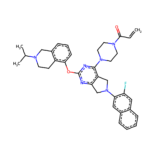 C=CC(=O)N1CCN(c2nc(Oc3cccc4c3CCN(C(C)C)C4)nc3c2CN(c2cc4ccccc4cc2F)C3)CC1